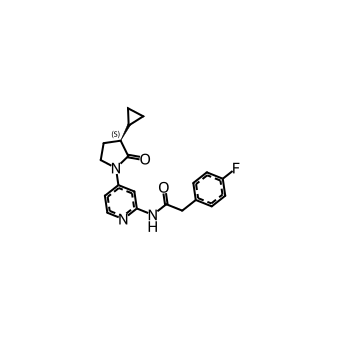 O=C(Cc1ccc(F)cc1)Nc1cc(N2CC[C@@H](C3CC3)C2=O)ccn1